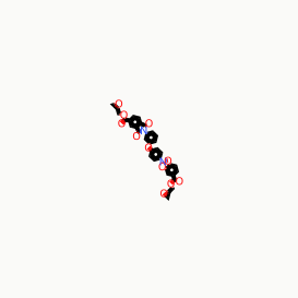 O=C(OCC1CO1)c1ccc2c(c1)ON(c1ccc(Oc3cccc(N4C(=O)c5ccc(C(=O)OCC6CO6)cc5C4=O)c3)cc1)O2